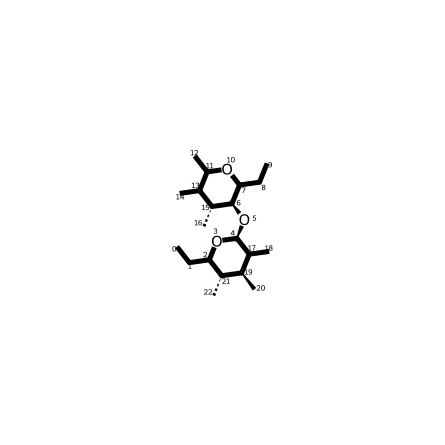 CCC1O[C@@H](O[C@@H]2C(CC)OC(C)C(C)[C@H]2C)C(C)[C@@H](C)[C@@H]1C